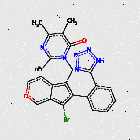 CCCc1nc(C)c(C)c(=O)n1Cc1c2ccocc-2c(Br)c1-c1ccccc1-c1nnn[nH]1